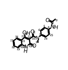 CC(=O)Nc1ccc(N(C)C(=O)c2c(O)c3ccccc3[nH]c2=O)cc1